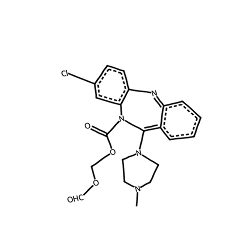 CN1CCN(C2=c3ccccc3=Nc3ccc(Cl)cc3N2C(=O)OCOC=O)CC1